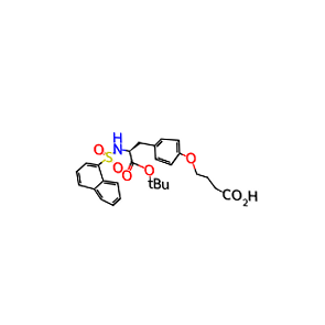 CC(C)(C)OC(=O)[C@H](Cc1ccc(OCCCC(=O)O)cc1)NS(=O)(=O)c1cccc2ccccc12